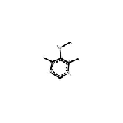 COc1c(C)ncnc1C